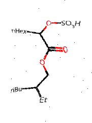 CCCCCCC(OS(=O)(=O)O)C(=O)OCC(CC)CCCC